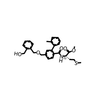 COC(=O)[C@H](CCSC)NC(=O)c1ccc(COCc2ccccc2CO)cc1-c1ccccc1C